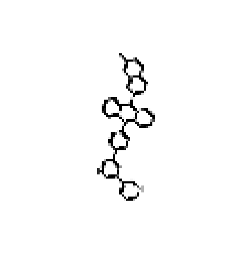 Cc1ccc2ccc(-c3c4ccccc4c(-c4ccc(-c5cncc(-c6cccnc6)c5)cc4)c4ccccc34)cc2c1